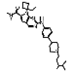 CCC1(n2c(C(=O)N(C)C)cc3cnc(Nc4ccc(C5CCN(CCC(C)C(C)C)CC5)cc4)nc32)CCC1